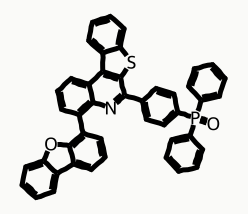 O=P(c1ccccc1)(c1ccccc1)c1ccc(-c2nc3c(-c4cccc5c4oc4ccccc45)cccc3c3c2sc2ccccc23)cc1